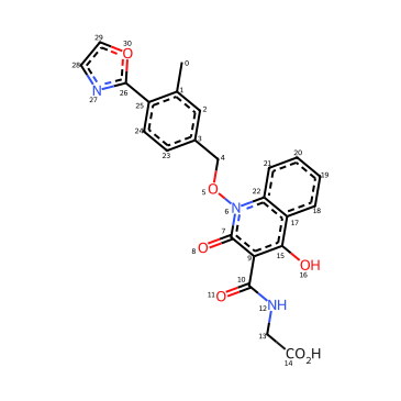 Cc1cc(COn2c(=O)c(C(=O)NCC(=O)O)c(O)c3ccccc32)ccc1-c1ncco1